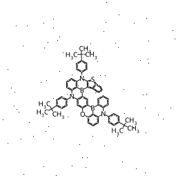 CC(C)(C)c1ccc(N2c3ccccc3B3c4cc5c(cc4Oc4cccc2c43)N(c2ccc(C(C)(C)C)cc2)c2cccc3c2B5c2c(sc4ccccc24)N3c2ccc(C(C)(C)C)cc2)cc1